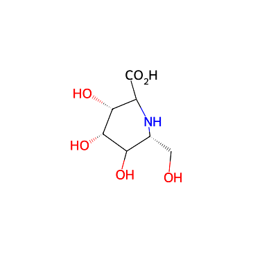 O=C(O)C1N[C@H](CO)C(O)[C@H](O)[C@@H]1O